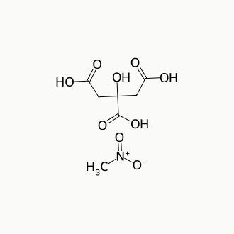 C[N+](=O)[O-].O=C(O)CC(O)(CC(=O)O)C(=O)O